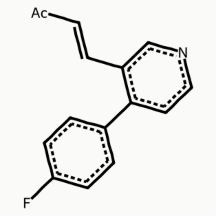 CC(=O)/C=C/c1cnccc1-c1ccc(F)cc1